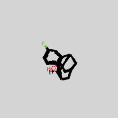 O[C@]12CC3CC(C1)[C@H](c1ccc(F)cc1)C(C3)C2